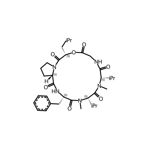 CC(C)C[C@@H]1OC(=O)CNC(=O)[C@H](C(C)C)N(C)C(=O)[C@H](C(C)C)N(C)C(=O)[C@H](Cc2ccccc2)NC(=O)[C@@H]2CCCN2C1=O